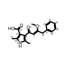 COC(=CC(=O)c1c(C)[nH]c(C)c1C(=O)O)Cc1ccccc1